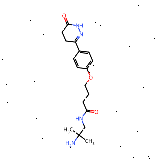 CC(C)(N)CNC(=O)CCCOc1ccc(C2=NNC(=O)CC2)cc1